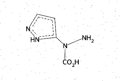 NN(C(=O)O)c1ccn[nH]1